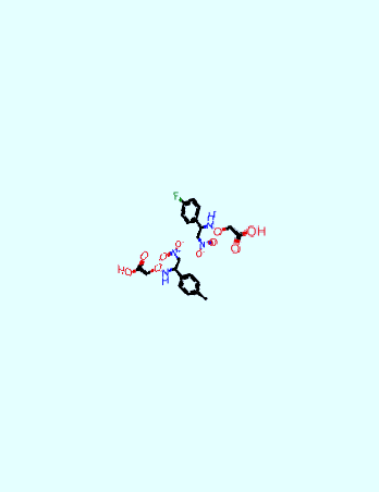 Cc1ccc(C(C[N+](=O)[O-])NOCC(=O)O)cc1.O=C(O)CONC(C[N+](=O)[O-])c1ccc(F)cc1